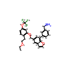 CCOCCc1ccc(OC(F)(F)F)cc1OCc1cc(-c2cccc(CN)c2)c2occc2c1